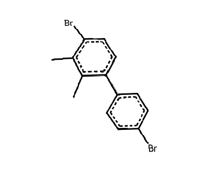 Cc1c(Br)ccc(-c2ccc(Br)cc2)c1C